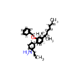 C=CC[C@@]1(N)CCC[C@@H](c2ccc(C(C)(C)CCCCCC)cc2OCc2ccccc2)C1